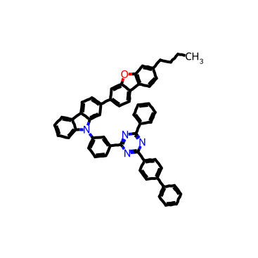 CCCCc1ccc2c(c1)oc1cc(-c3ccc4c5ccccc5n(-c5cccc(-c6nc(-c7ccccc7)nc(-c7ccc(-c8ccccc8)cc7)n6)c5)c4c3)ccc12